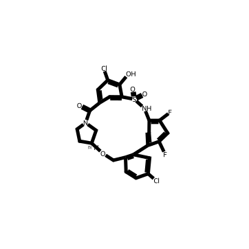 O=C1c2cc(Cl)c(O)c(c2)S(=O)(=O)Nc2cc(c(F)cc2F)-c2cc(Cl)ccc2CO[C@H]2CCN1C2